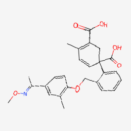 CON=C(C)c1ccc(OCc2ccccc2C2(C(=O)O)C=CC(C)=C(C(=O)O)C2)c(C)c1